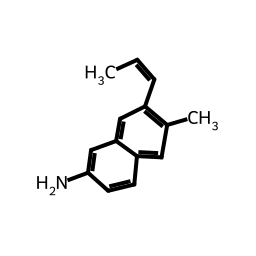 C/C=C\c1cc2cc(N)ccc2cc1C